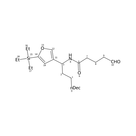 CCCCCCCCCCCCC(NC(=O)CCCC=O)c1coc([Si](CC)(CC)CC)c1